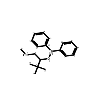 CNCC(O[SiH](c1ccccc1)c1ccccc1)C(C)(C)C